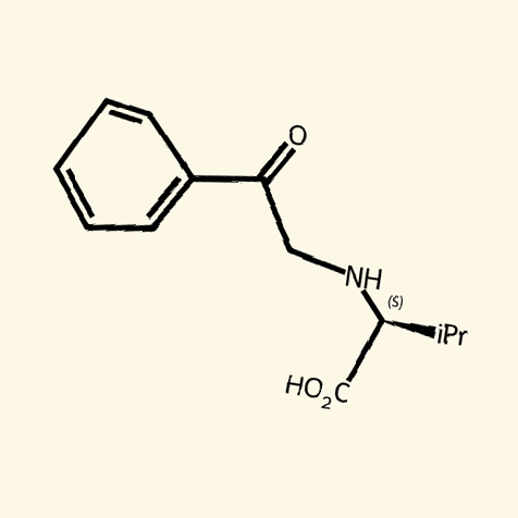 CC(C)[C@H](NCC(=O)c1ccccc1)C(=O)O